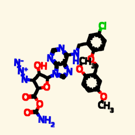 COc1ccc(OC)c(COc2ccc(Cl)cc2CNc2ncnc3c2ncn3C2OC(C(=O)OC(N)=O)C(N=[N+]=[N-])C2O)c1